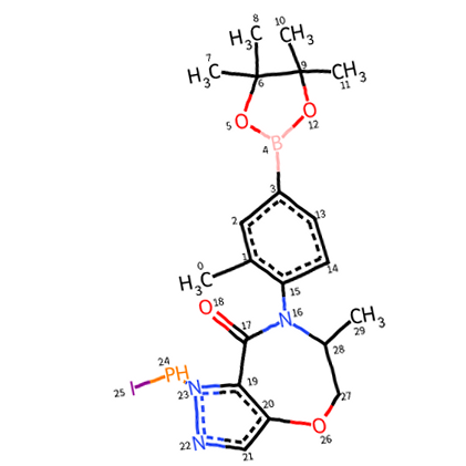 Cc1cc(B2OC(C)(C)C(C)(C)O2)ccc1N1C(=O)c2c(cnn2PI)OCC1C